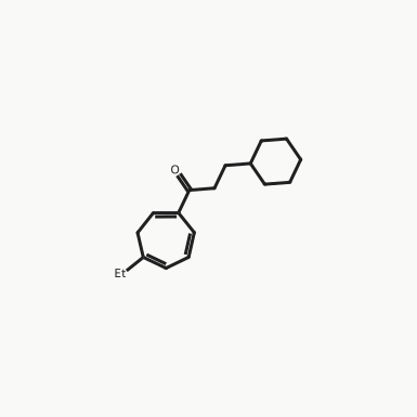 CCC1=CC=CC(C(=O)CCC2CCCCC2)=CC1